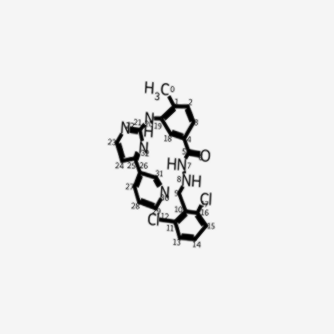 Cc1ccc(C(=O)NNCc2c(Cl)cccc2Cl)cc1Nc1nccc(-c2cccnc2)n1